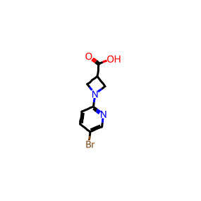 O=C(O)C1CN(c2ccc(Br)cn2)C1